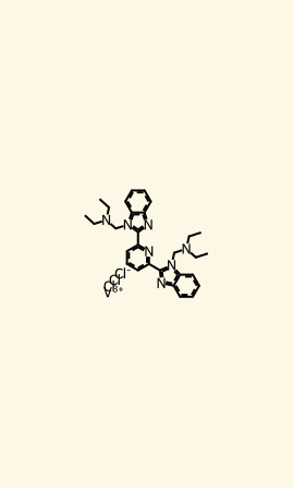 CCN(CC)Cn1c(-c2cccc(-c3nc4ccccc4n3CN(CC)CC)n2)nc2ccccc21.[Cl-].[Cl-].[Cl-].[V+3]